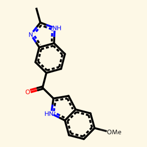 COc1ccc2[nH]c(C(=O)c3ccc4[nH]c(C)nc4c3)cc2c1